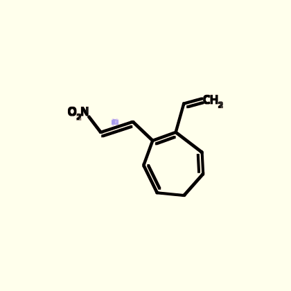 C=CC1=C(/C=C/[N+](=O)[O-])C=CCC=C1